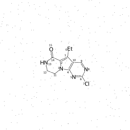 CCc1c2n(c3nc(Cl)ncc13)CCNC2=O